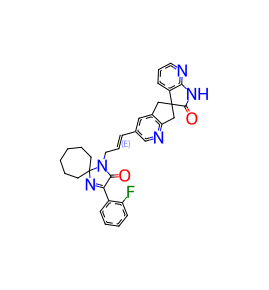 O=C1C(c2ccccc2F)=NC2(CCCCCC2)N1C/C=C/c1cnc2c(c1)CC1(C2)C(=O)Nc2ncccc21